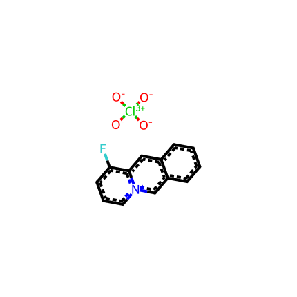 Fc1ccc[n+]2cc3ccccc3cc12.[O-][Cl+3]([O-])([O-])[O-]